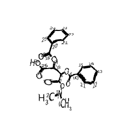 CN(C)OC(=O)C(OC(=O)c1ccccc1)C(OC(=O)c1ccccc1)C(=O)O